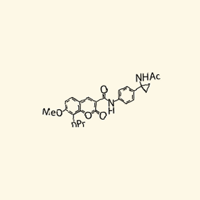 CCCc1c(OC)ccc2cc(C(=O)Nc3ccc(C4(NC(C)=O)CC4)cc3)c(=O)oc12